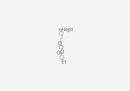 CCCCCCCC1CCC(CCCOc2ccc(OC(=O)C3CCC(CC)CC3)cc2)CC1